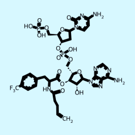 C=CCCC(=O)NC(Cc1ccc(C(F)(F)F)cc1)C(=O)O[C@@H]1[C@H](COP(=O)(O)O[C@H]2CC(n3ccc(N)nc3=O)O[C@@H]2COP(=O)(O)O)OC(n2cnc3c(N)ncnc32)[C@@H]1O